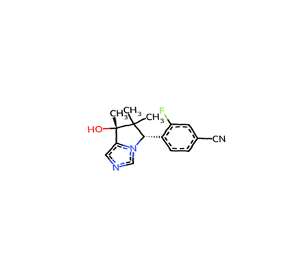 CC1(C)[C@H](c2ccc(C#N)cc2F)n2cncc2[C@]1(C)O